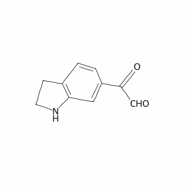 O=CC(=O)c1ccc2c(c1)NCC2